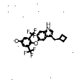 [O]c1cc(C(F)(F)F)c(Oc2ccc3[nH]cc(CC4CCC4)c3c2)c(C(F)(F)F)c1